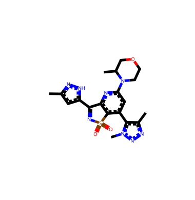 Cc1cc(C2=NS(=O)(=O)c3c(-c4c(C)nnn4C)cc(N4CCOCC4C)nc32)[nH]n1